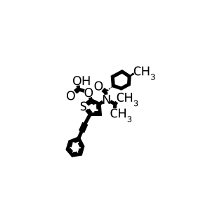 CC(C)N(c1cc(C#Cc2ccccc2)sc1OC(=O)O)C(=O)[C@H]1CC[C@H](C)CC1